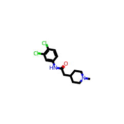 CN1CCC(CC(=O)Nc2ccc(Cl)c(Cl)c2)CC1